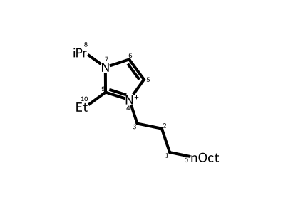 CCCCCCCCCCC[n+]1ccn(C(C)C)c1CC